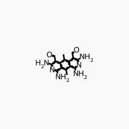 Cc1c2c(N)nc(N)c(C=O)c2c(C)c2c(C=O)c(N)nc(N)c12